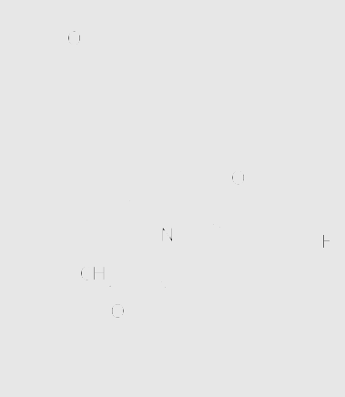 C=C1CCCC(=O)CCC1N1C(=O)c2cccc(F)c2C1=O